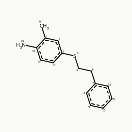 Cc1cc(SCCc2ccccc2)ccc1N